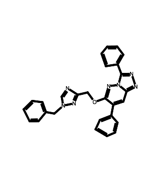 c1ccc(Cn2cnc(COc3nn4c(-c5ccccc5)nnc4cc3-c3ccccc3)n2)cc1